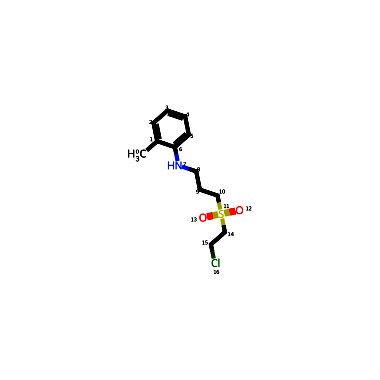 Cc1ccccc1NCCCS(=O)(=O)CCCl